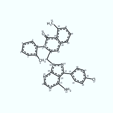 Cc1ccccc1-n1c(Cn2nc(-c3ccc(Cl)cc3)c3c(N)ncnc32)cc2cccc(C)c2c1=O